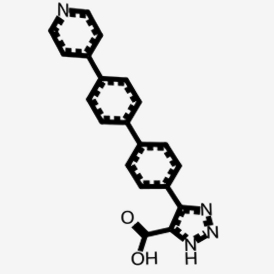 O=C(O)c1[nH]nnc1-c1ccc(-c2ccc(-c3ccncc3)cc2)cc1